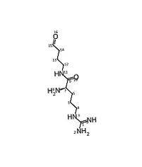 N=C(N)NCCC[C@@H](N)C(=O)NCCC[C]=O